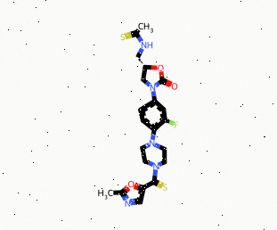 CC(=S)NC[C@H]1CN(c2ccc(N3CCN(C(=S)c4cnc(C)o4)CC3)c(F)c2)C(=O)O1